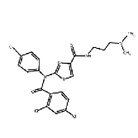 CN(C)CCCNC(=O)c1csc(N(C(=O)c2ccc(Cl)cc2Cl)c2ccc(Cl)cc2)n1